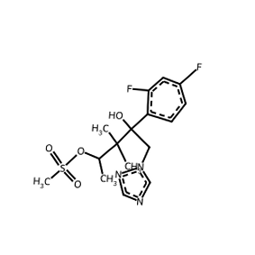 CC(OS(C)(=O)=O)C(C)(C)C(O)(Cn1cncn1)c1ccc(F)cc1F